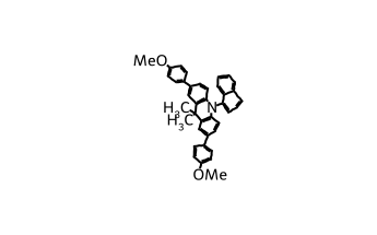 COc1ccc(-c2ccc3c(c2)C(C)(C)c2cc(-c4ccc(OC)cc4)ccc2N3c2cccc3ccccc23)cc1